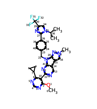 COc1ncnc(C2CC2)c1-c1ncc2c3cn(C)nc3n(Cc3ccc(-c4nc(C(F)(F)F)cn4C(C)C)cc3)c2n1